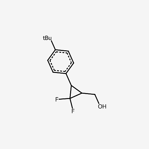 CC(C)(C)c1ccc(C2C(CO)C2(F)F)cc1